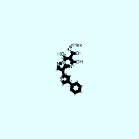 CCCCCCOC(=O)c1c(O)nc2c(-c3cc(-c4ccccc4)cs3)cnn2c1O